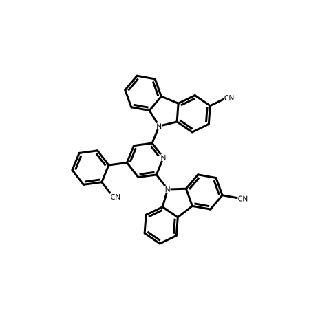 N#Cc1ccc2c(c1)c1ccccc1n2-c1cc(-c2ccccc2C#N)cc(-n2c3ccccc3c3cc(C#N)ccc32)n1